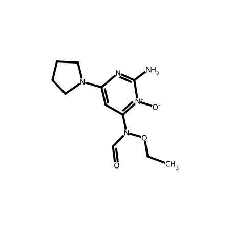 CCON(C=O)c1cc(N2CCCC2)nc(N)[n+]1[O-]